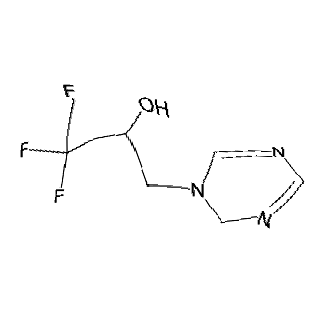 OC(CN1C=NC=NC1)C(F)(F)F